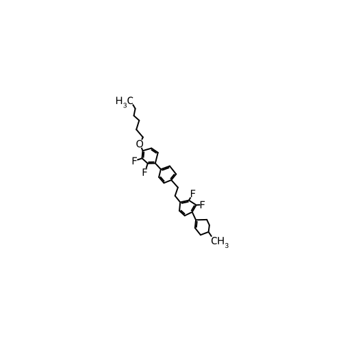 CCCCCCOc1ccc(-c2ccc(CCc3ccc(C4=CCC(C)CC4)c(F)c3F)cc2)c(F)c1F